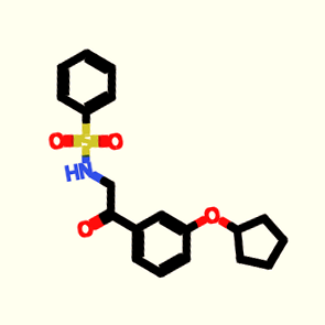 O=C(CNS(=O)(=O)c1ccccc1)c1cccc(OC2CCCC2)c1